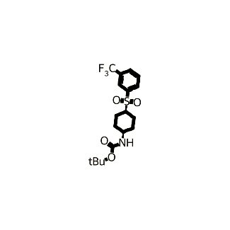 CC(C)(C)OC(=O)N[C@H]1CC[C@@H](S(=O)(=O)c2cccc(C(F)(F)F)c2)CC1